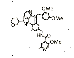 COc1ccc(CNc2nccn3c(C4CCCOC4)nc(-c4ccc(CNC(=O)c5cc(C)ncc5OC)cc4)c23)c(OC)c1